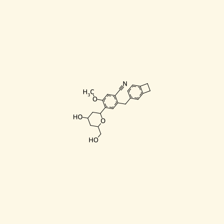 COc1cc(C#N)c(Cc2ccc3c(c2)CC3)cc1C1CC(O)CC(CO)O1